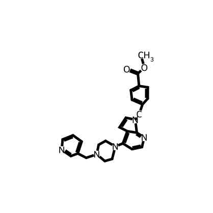 COC(=O)c1ccc(Cn2ccc3c(N4CCN(Cc5cccnc5)CC4)ccnc32)cc1